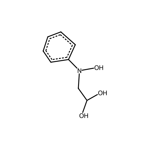 OC(O)CN(O)c1ccccc1